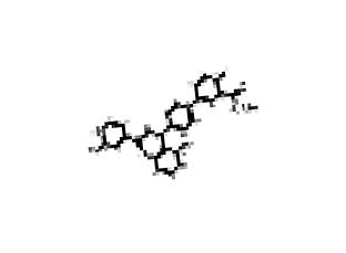 COC(=O)c1cc(-c2ccc(C(CC(=O)c3ccnc(C)c3)c3ccccc3C)cc2)ccc1F